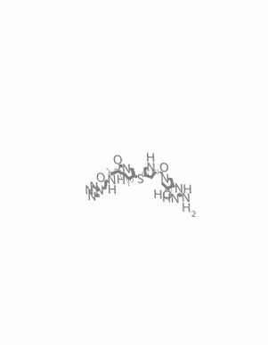 C[C@@H](NC(=O)Cn1cnnn1)[C@H]1C(=O)N2C=C(S[C@@H]3CN[C@H](C(=O)N4C[C@H](NC(=N)N)[C@@H](O)C4)C3)[C@H](C)[C@H]12